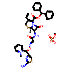 C=CC1=C(C(=O)OC(c2ccccc2)c2ccccc2)N2C(=O)C(NC(=O)C=NOC(c3csc(N)n3)c3cccc[n+]3C)[C@@H]2SC1.COS(=O)(=O)[O-]